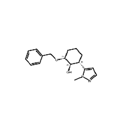 Cn1nccc1[C@H]1CCC[C@H](OCc2ccccc2)[C@@H]1O